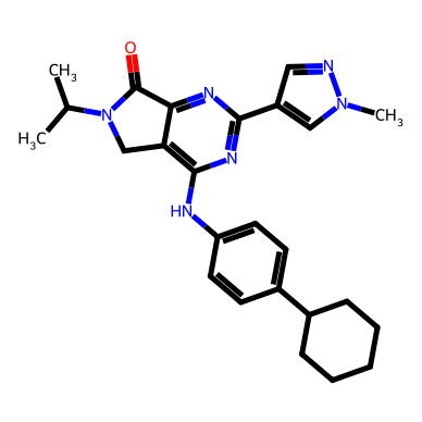 CC(C)N1Cc2c(Nc3ccc(C4CCCCC4)cc3)nc(-c3cnn(C)c3)nc2C1=O